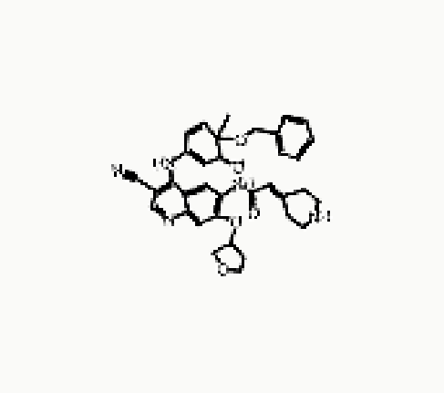 CC1(OCc2ccccc2)C=CC(Nc2c(C#N)cnc3cc(OC4CCOC4)c(NC(=O)C=C4CCNCC4)cc23)=CC1Cl